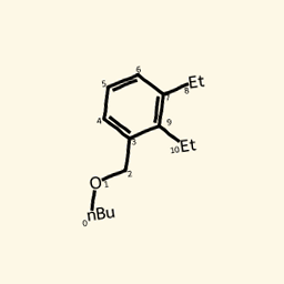 CCCCOCc1cccc(CC)c1CC